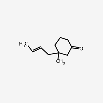 CC=CCC1(C)CCCC(=O)C1